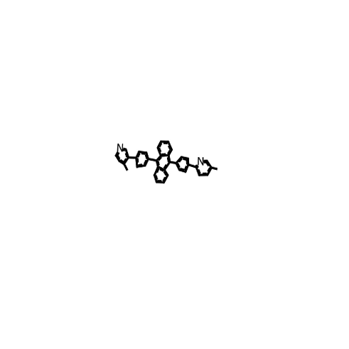 Cc1ccc(-c2ccc(-c3c4ccccc4c(-c4ccc(-c5cnccc5C)cc4)c4ccccc34)cc2)nc1